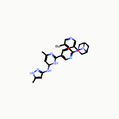 CCC(C)c1cncc(CN2C3CC2CN(c2ccc(C4=NC(C)=CC(Nc5cc(C)[nH]n5)N4)cn2)C3)c1